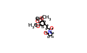 COc1cc(/C=C/C(=O)N2CCCC2=O)cc(OC)c1OC